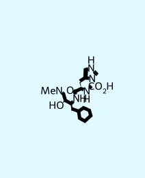 CNC[C@@H](O)[C@H](CC1CCCCC1)NC(=O)[C@H](Cc1c[nH]cn1)NC(=O)O